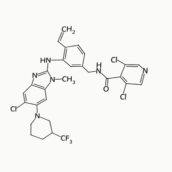 C=Cc1ccc(CNC(=O)c2c(Cl)cncc2Cl)cc1Nc1nc2cc(Cl)c(N3CCCC(C(F)(F)F)C3)cc2n1C